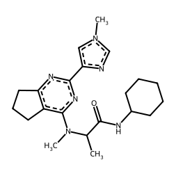 CC(C(=O)NC1CCCCC1)N(C)c1nc(-c2cn(C)cn2)nc2c1CCC2